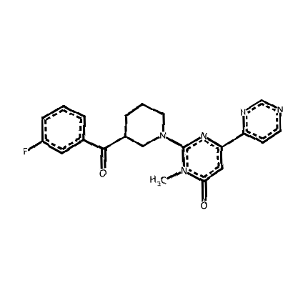 Cn1c(N2CCCC(C(=O)c3cccc(F)c3)C2)nc(-c2ccncn2)cc1=O